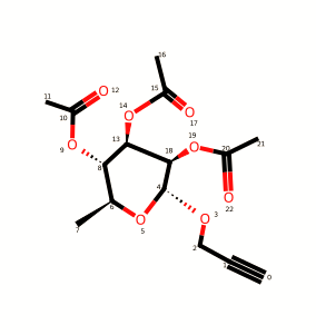 C#CCO[C@@H]1O[C@@H](C)[C@H](OC(C)=O)[C@@H](OC(C)=O)[C@H]1OC(C)=O